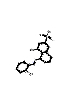 O=S(=O)(O)c1cc(O)c2c(/N=C/c3ccccc3O)cccc2c1